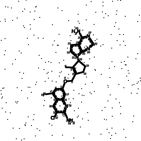 CC1=C(COc2cc(F)c3cc(Cl)c(N)nc3c2)CCC1n1ccc2c(N)ncnc21